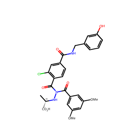 COc1cc(OC)cc(C(=O)N(N[C@@H](C)C(=O)O)C(=O)c2ccc(C(=O)NCc3cccc(O)c3)cc2Cl)c1